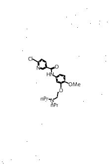 CCCN(CCC)CCOc1cc(NC(=O)c2ccc(Cl)nc2)ccc1OC